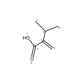 C=C([C](C)C)C(=O)O